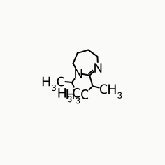 CC(C)C1=NCCCCN1C(C)C